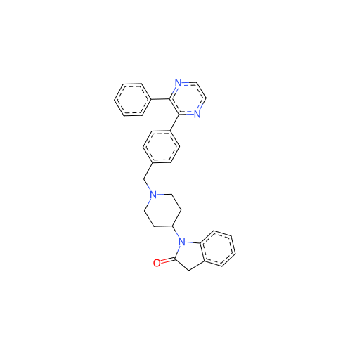 O=C1Cc2ccccc2N1C1CCN(Cc2ccc(-c3nccnc3-c3ccccc3)cc2)CC1